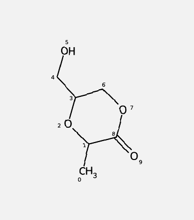 CC1OC(CO)COC1=O